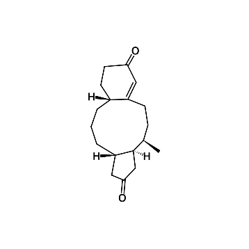 C[C@@H]1CCC2=CC(=O)CC[C@H]2CCC[C@H]2CC(=O)C[C@@H]21